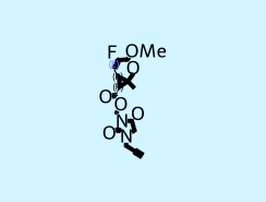 C#CCN1CC(=O)N(COC(=O)[C@@H]2[C@H](/C=C(/F)C(=O)OC)C2(C)C)C1=O